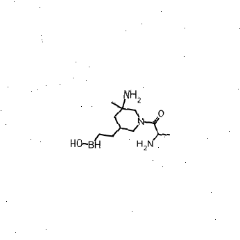 CC(N)C(=O)N1CC(CCBO)CC(C)(N)C1